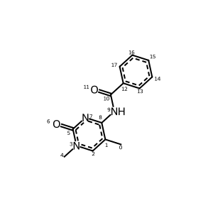 Cc1cn(C)c(=O)nc1NC(=O)c1ccccc1